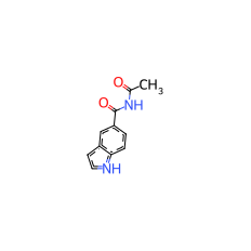 CC(=O)NC(=O)c1ccc2[nH]ccc2c1